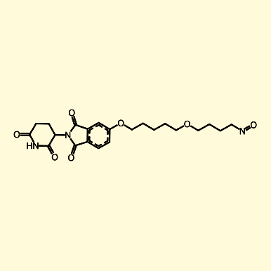 O=NCCCCOCCCCCOc1ccc2c(c1)C(=O)N(C1CCC(=O)NC1=O)C2=O